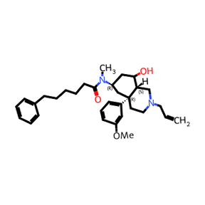 C=CCN1CC[C@@]2(c3cccc(OC)c3)C[C@@H](N(C)C(=O)CCCCCc3ccccc3)CC(O)[C@@H]2C1